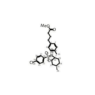 COC(=O)CCCc1ccc(C[C@]2(NS(=O)(=O)c3ccc(Cl)cc3)CC[C@@H](C)CC2)cc1